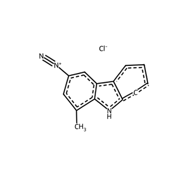 Cc1cc([N+]#N)cc2c1[nH]c1ccccc12.[Cl-]